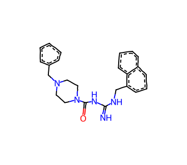 N=C(NCc1cccc2ccccc12)NC(=O)N1CCN(Cc2ccccc2)CC1